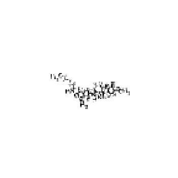 C=CCCCCC(=N)CC(=O)c1ccc(NC2=CCC=CC3C(c4ccc(OC)c(F)c4F)=CN=C23)c(F)c1C